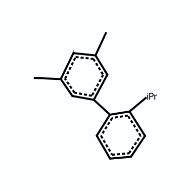 Cc1[c]c(C)cc(-c2ccccc2C(C)C)c1